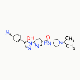 CC(C)N1CCC(NC(=O)c2ccc(-n3ncc(-c4ccc(C#N)cc4)c3O)nc2)CC1